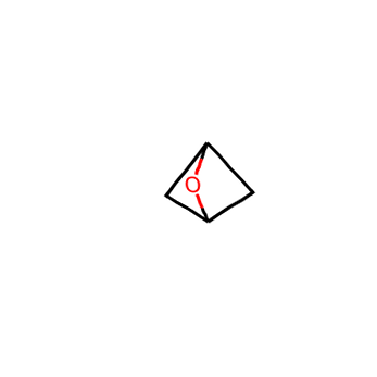 C1C2CC1O2